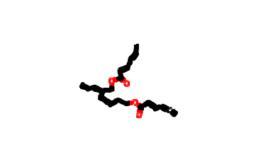 C=C=C/C=C/C(=O)OCC/C=C\C(=C/C=C)COC(=O)/C=C/C=C/C